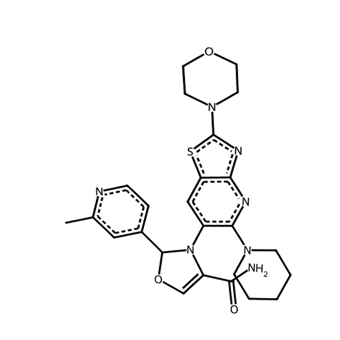 Cc1cc(C2OC=C(C(N)=O)N2c2cc3sc(N4CCOCC4)nc3nc2N2CCCCC2)ccn1